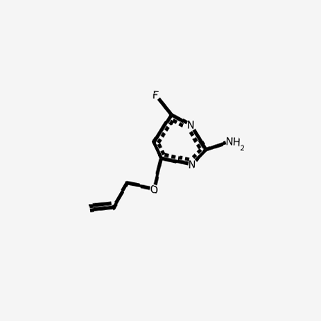 C=CCOc1cc(F)nc(N)n1